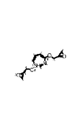 C1=C[SH](OCC2CO2)C=NC(OCC2CO2)=C1